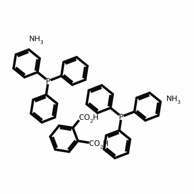 N.N.O=C(O)c1ccccc1C(=O)O.c1ccc(P(c2ccccc2)c2ccccc2)cc1.c1ccc(P(c2ccccc2)c2ccccc2)cc1